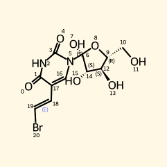 O=c1[nH]c(=O)n([C@@]2(O)O[C@H](CO)[C@@H](O)[C@@H]2O)cc1/C=C/Br